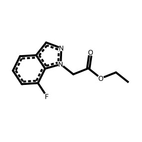 CCOC(=O)Cn1ncc2cccc(F)c21